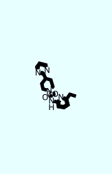 CCc1cccc(NS(=O)(=O)N2CCC(c3ncccn3)CC2)n1